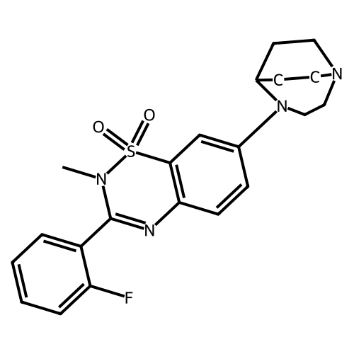 CN1C(c2ccccc2F)=Nc2ccc(N3CCN4CCC3CC4)cc2S1(=O)=O